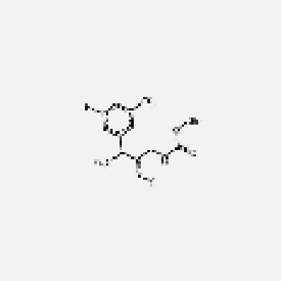 CC(C(=CF)CNC(=O)OC(C)(C)C)c1cc(F)cc(C(F)(F)F)c1